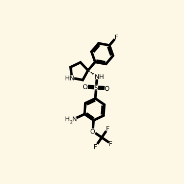 Nc1cc(S(=O)(=O)N[C@@]2(c3ccc(F)cc3)CCNC2)ccc1OC(F)(F)F